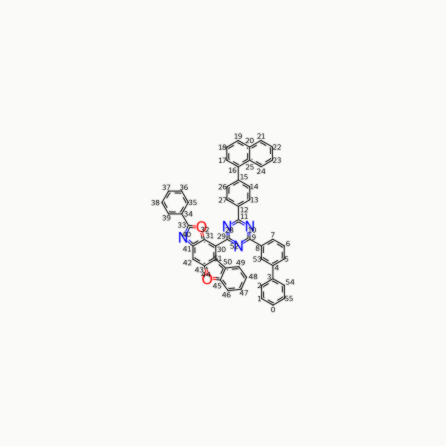 c1ccc(-c2cccc(-c3nc(-c4ccc(-c5cccc6ccccc56)cc4)nc(-c4c5oc(-c6ccccc6)nc5cc5oc6ccccc6c45)n3)c2)cc1